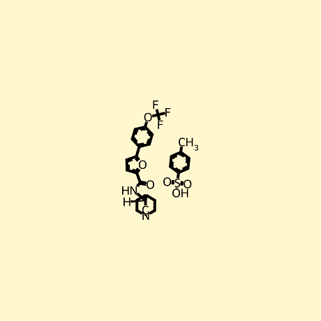 Cc1ccc(S(=O)(=O)O)cc1.O=C(N[C@H]1CN2CCC1CC2)c1ccc(-c2ccc(OC(F)(F)F)cc2)o1